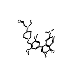 CCN(CC=O)C1CCN(Cc2c(OC)cc(-c3cn(C)c(=O)c4cnc(N(C)C)cc34)cc2OC)CC1